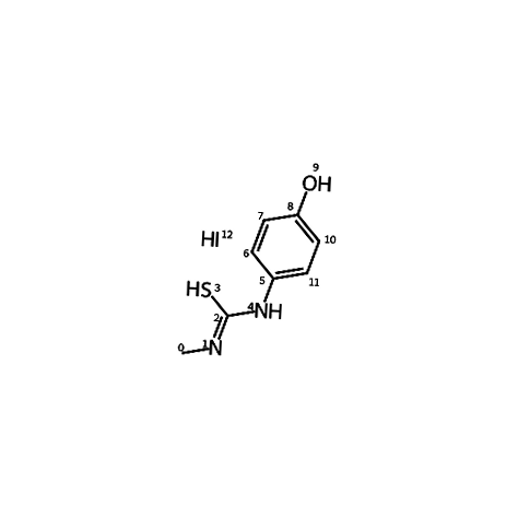 CN=C(S)Nc1ccc(O)cc1.I